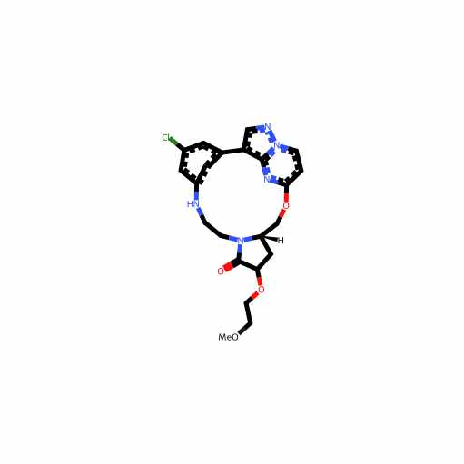 COCCOC1C[C@H]2COc3ccn4ncc(c4n3)-c3cc(Cl)cc(c3)NCCN2C1=O